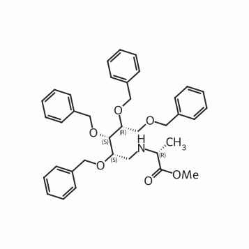 COC(=O)[C@@H](C)NC[C@H](OCc1ccccc1)[C@H](OCc1ccccc1)[C@@H](COCc1ccccc1)OCc1ccccc1